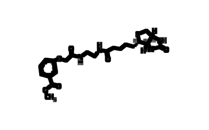 COC(=O)c1cccc(OCC(=O)NCCNC(=O)CCCC[C@@H]2SC[C@@H]3NC(=O)N[C@@H]32)c1